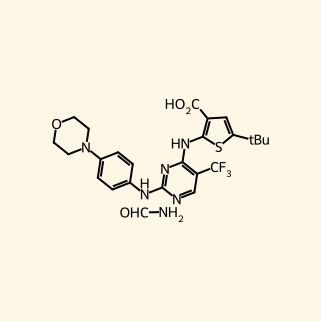 CC(C)(C)c1cc(C(=O)O)c(Nc2nc(Nc3ccc(N4CCOCC4)cc3)ncc2C(F)(F)F)s1.NC=O